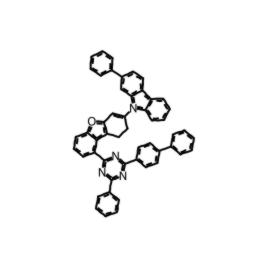 C1=C(n2c3ccccc3c3ccc(-c4ccccc4)cc32)CCc2c1oc1cccc(-c3nc(-c4ccccc4)nc(-c4ccc(-c5ccccc5)cc4)n3)c21